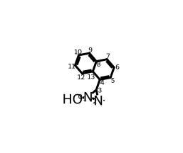 ON1[N]C1c1cccc2ccccc12